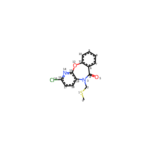 CSCN1C(=O)c2ccccc2Oc2nc(Cl)ccc21